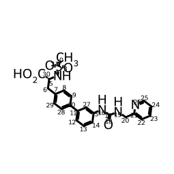 CS(=O)(=O)N[C@@H](Cc1ccc(-c2cccc(NC(=O)NCc3ccccn3)c2)cc1)C(=O)O